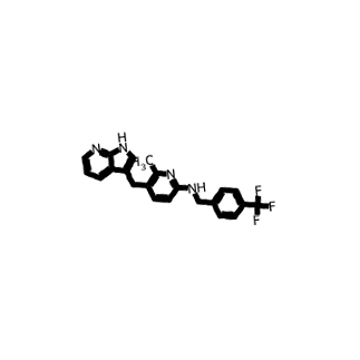 Cc1nc(NCc2ccc(C(F)(F)F)cc2)ccc1Cc1c[nH]c2ncccc12